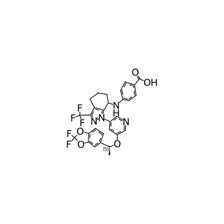 C[C@H](Oc1cncc(-n2nc(C(F)(F)F)c3c2C(Nc2ccc(C(=O)O)cc2)CCC3)c1)c1ccc2c(c1)OC(F)(F)O2